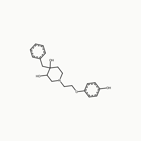 Oc1ccc(OCCN2CCC(O)(Cc3ccccc3)C(O)C2)cc1